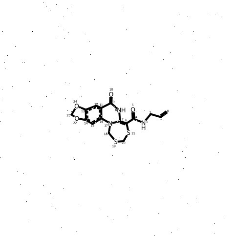 C=CCNC(=O)C1=C2NC(=O)c3cc4c(cc3N2CSCS1)OCO4